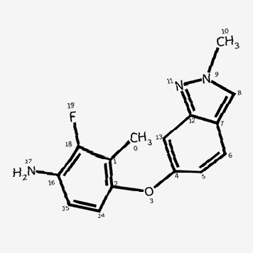 Cc1c(Oc2ccc3cn(C)nc3c2)ccc(N)c1F